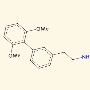 COc1cccc(OC)c1-c1cccc(CCN)c1